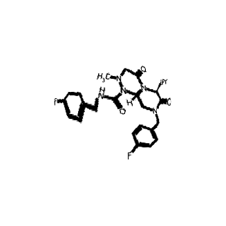 CC(C)[C@H]1C(=O)N(Cc2ccc(F)cc2)C[C@H]2N1C(=O)CN(C)N2C(=O)NCc1ccc(F)cc1